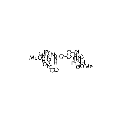 COC(=O)N[C@H](C(=O)N1CN(C(=O)N2Cc3ccc4c(c3C2)CCC4)C[C@H]1c1ncc(-c2ccc(-c3cccc4c(-c5cnc([C@@H]6CCCN6C(=O)[C@@H](NC(=O)OC)C(C)C)[nH]5)cccc34)cc2)[nH]1)C(C)C